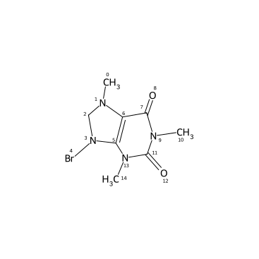 CN1CN(Br)c2c1c(=O)n(C)c(=O)n2C